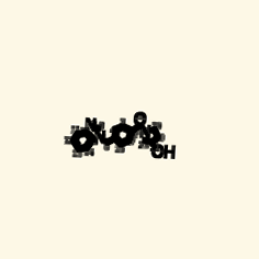 O=C(c1ccc(Cn2cnc3ccccc32)cc1)N1CCC(O)C1